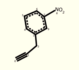 C#CCc1cccc([N+](=O)[O-])c1